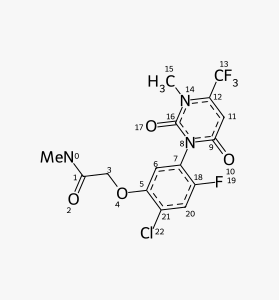 CNC(=O)COc1cc(-n2c(=O)cc(C(F)(F)F)n(C)c2=O)c(F)cc1Cl